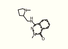 CN1CCCC1CNc1nn(C)c(=O)c2ccccc12